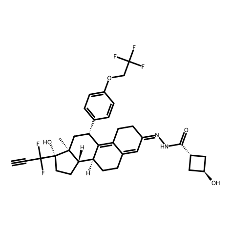 C#CC(F)(F)[C@]1(O)CC[C@H]2[C@@H]3CCC4=CC(=NNC(=O)[C@H]5C[C@H](O)C5)CCC4=C3[C@@H](c3ccc(OCC(F)(F)F)cc3)C[C@@]21C